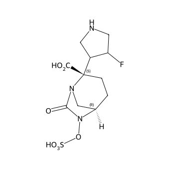 O=C1N(OS(=O)(=O)O)[C@@H]2CC[C@@](C(=O)O)(C3CNCC3F)N1C2